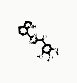 COc1cc(C(=O)c2csc(-c3cccc4cc[nH]c34)n2)cc(OC)c1OC